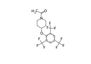 [CH2]C(=O)N1CCC(Oc2c(C(F)(F)F)cc(C(F)(F)F)cc2C(F)(F)F)CC1